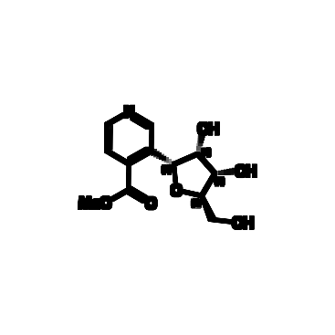 COC(=O)c1ccncc1[C@H]1O[C@H](CO)[C@@H](O)[C@H]1O